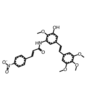 COc1cc(/C=C/c2cc(O)c(OC)c(NC(=O)/C=C/c3ccc([N+](=O)[O-])cc3)c2)cc(OC)c1OC